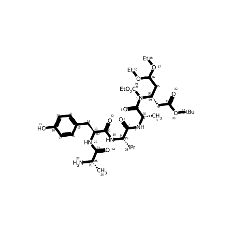 CCOC(=O)N(C(=O)[C@H](C)NC(=O)[C@@H](NC(=O)[C@H](Cc1ccc(O)cc1)NC(=O)[C@H](C)N)C(C)C)[C@@H](CC(=O)OC(C)(C)C)CC(OCC)OCC